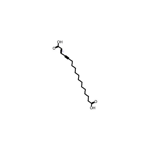 O=C(O)/C=C/C#CCCCCCCCCCCCCC(=O)O